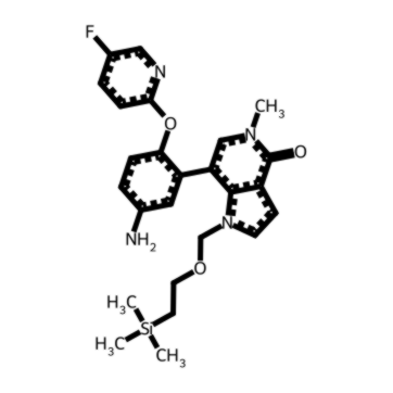 Cn1cc(-c2cc(N)ccc2Oc2ccc(F)cn2)c2c(ccn2COCC[Si](C)(C)C)c1=O